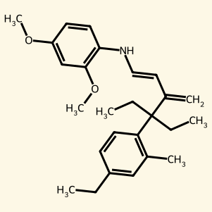 C=C(C=CNc1ccc(OC)cc1OC)C(CC)(CC)c1ccc(CC)cc1C